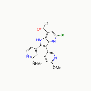 CCC(=O)c1cc(Br)nc2c(-c3ccc(OC)nc3)c(-c3ccnc(NC(C)=O)c3)[nH]c12